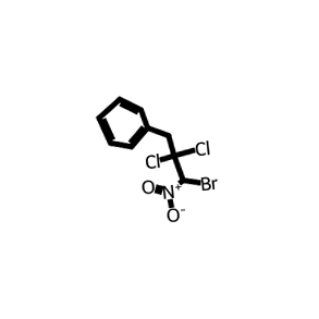 O=[N+]([O-])C(Br)C(Cl)(Cl)Cc1ccccc1